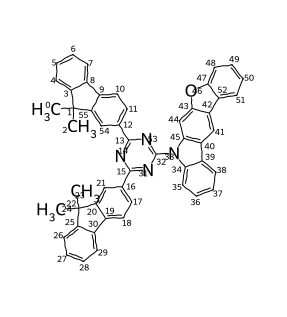 CC1(C)c2ccccc2-c2ccc(-c3nc(-c4ccc5c(c4)C(C)(C)c4ccccc4-5)nc(-n4c5ccccc5c5cc6c(cc54)oc4ccccc46)n3)cc21